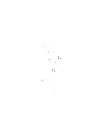 Nc1nc(N2CCC3(CC2)Cc2ccccc2[C@@H]3N)cnc1-c1cccc(Cl)c1Cl